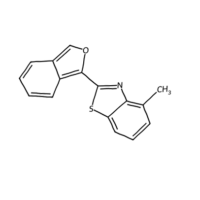 Cc1cccc2sc(-c3occ4ccccc34)nc12